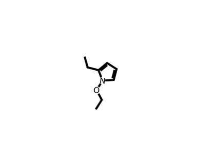 CCOn1cccc1CC